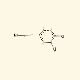 CCC#Cc1ccc(Cl)c(Cl)c1